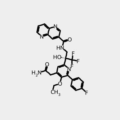 CCOc1c(CC(N)=O)cc([C@@](O)(CNC(=O)c2cnc3cccnc3c2)C(F)(F)F)nc1-c1ccc(F)cc1